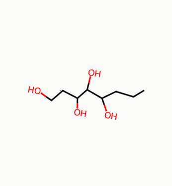 CCCC(O)C(O)C(O)[CH]CO